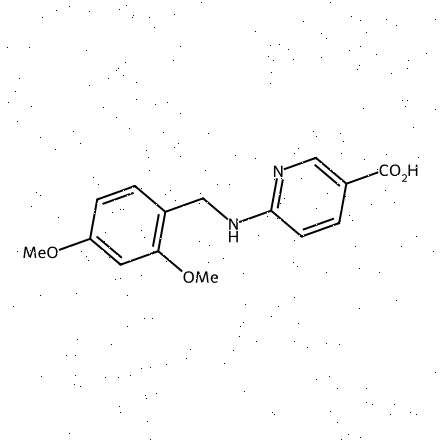 COc1ccc(CNc2ccc(C(=O)O)cn2)c(OC)c1